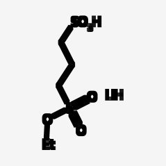 CCOS(=O)(=O)CCCS(=O)(=O)O.[LiH]